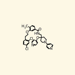 Cc1ccc(C(=O)NCC2(Oc3ccncc3)CCN(c3ccncc3)CC2)cc1OCCc1ccc(Cl)cc1Cl